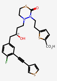 O=C(O)c1ccc(CCN2C(=O)SCCN2CC[C@@H](O)Cc2ccc(F)c(C#Cc3ccsc3)c2)s1